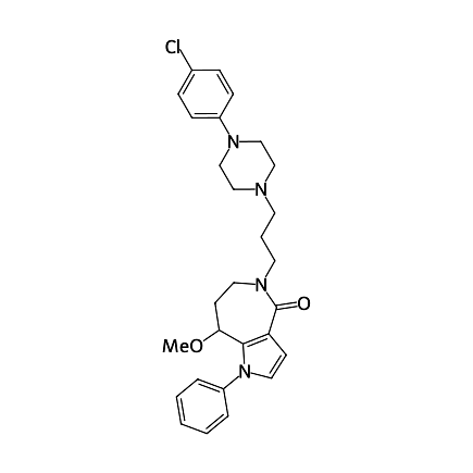 COC1CCN(CCCN2CCN(c3ccc(Cl)cc3)CC2)C(=O)c2ccn(-c3ccccc3)c21